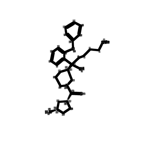 COCCCCC(O)(c1ccccc1Oc1ccccc1)[C@@H]1CCCN(C(=O)[C@@H]2CC[C@H](N)C2)C1